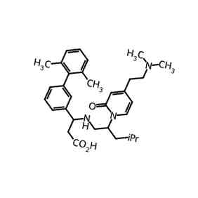 Cc1cccc(C)c1-c1cccc(C(CC(=O)O)NCC(CC(C)C)n2ccc(CCN(C)C)cc2=O)c1